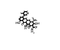 Cc1ccncc1-c1ccc(O)c2c1CC1CC3C(N(C)C)C(O)=C(C(N)=O)C(=O)C3(O)C(O)=C1C2=O